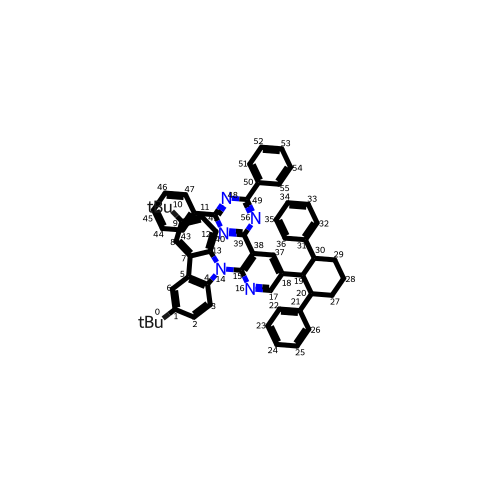 CC(C)(C)c1ccc2c(c1)c1cc(C(C)(C)C)ccc1n2-c1ncc(C2C(c3ccccc3)CCCC2c2ccccc2)cc1-c1nc(-c2ccccc2)nc(-c2ccccc2)n1